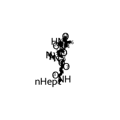 CCCCCCCNC(=O)/C=C/C(=O)OC[C@H]1O[C@@H](n2cc(C)c(=O)[nH]c2=O)C[C@@H]1N=[N+]=[N-]